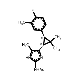 CC(=O)Nc1nc([C@@H]2[C@@H](c3ccc(F)c(C)c3)C2(C)C)c(C)[nH]1